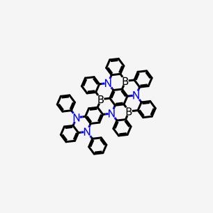 c1ccc(N2c3ccccc3N(c3ccccc3)c3cc4c(cc32)B2c3ccccc3N3c5ccccc5B5c6ccccc6N6c7ccccc7B7c8ccccc8N4c4c7c6c5c3c42)cc1